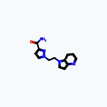 NC(=O)c1[c]cn(CCn2ccc3ncccc32)n1